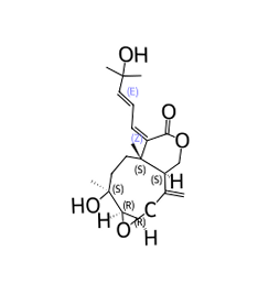 C=C1C[C@H]2O[C@H]2[C@@](C)(O)CC[C@]2(C)/C(=C/C=C/C(C)(C)O)C(=O)OC[C@@H]12